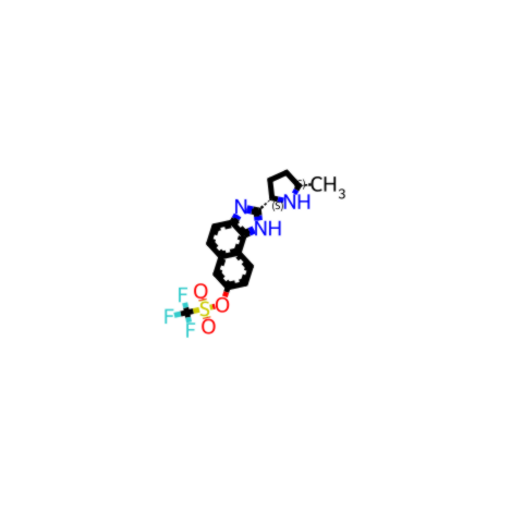 C[C@H]1CC[C@@H](c2nc3ccc4cc(OS(=O)(=O)C(F)(F)F)ccc4c3[nH]2)N1